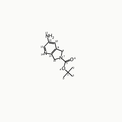 CC(C)(C)OC(=O)N1Cc2cc(N)cnc2C1